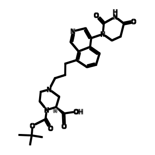 CC(C)(C)OC(=O)N1CCN(CCCc2cccc3c(N4CCC(=O)NC4=O)cncc23)C[C@H]1C(=O)O